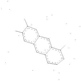 Clc1[c]c2cc3cc[c]c(Cl)c3cc2cc1Cl